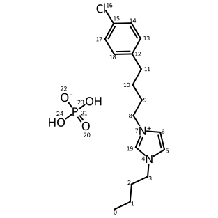 CCCCn1cc[n+](CCCCc2ccc(Cl)cc2)c1.O=P([O-])(O)O